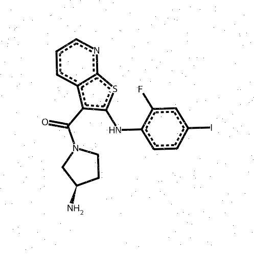 N[C@@H]1CCN(C(=O)c2c(Nc3ccc(I)cc3F)sc3ncccc23)C1